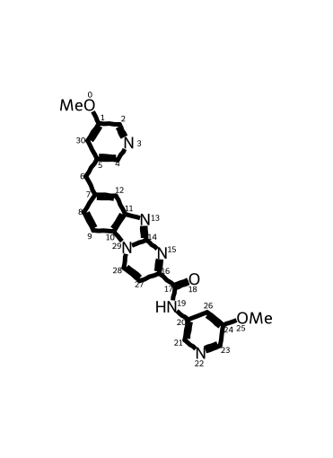 COc1cncc(Cc2ccc3c(c2)nc2nc(C(=O)Nc4cncc(OC)c4)ccn23)c1